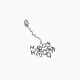 COc1cc(Nc2c(C#N)cnc3cc(C=CCCCCCCCCCN4CCOCC4)c(OC)cc23)c(Cl)cc1Cl